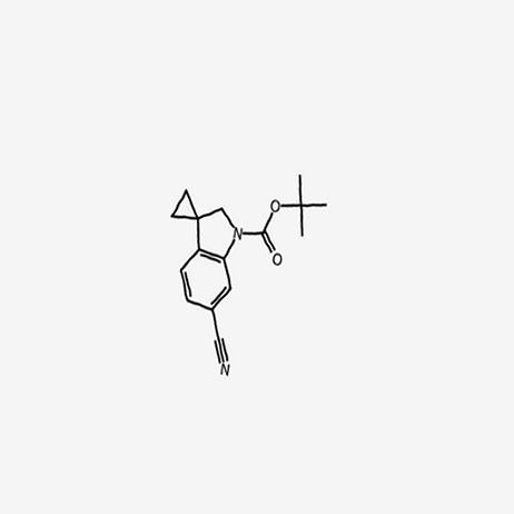 CC(C)(C)OC(=O)N1CC2(CC2)c2ccc(C#N)cc21